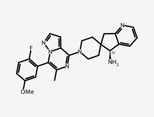 COc1ccc(F)c(-c2c(C)nc(N3CCC4(CC3)Cc3ncccc3[C@H]4N)c3ccnn23)c1